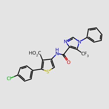 O=C(Nc1csc(-c2ccc(Cl)cc2)c1C(=O)O)c1ncn(-c2ccccc2)c1C(F)(F)F